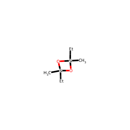 CC[Si]1(C)O[Si](C)(CC)O1